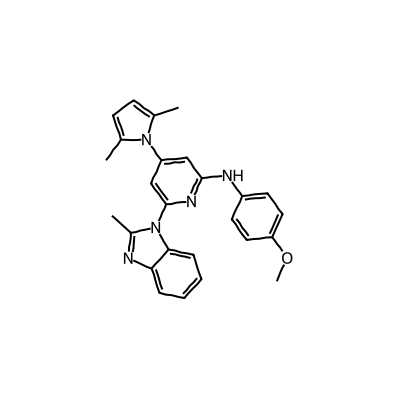 COc1ccc(Nc2cc(-n3c(C)ccc3C)cc(-n3c(C)nc4ccccc43)n2)cc1